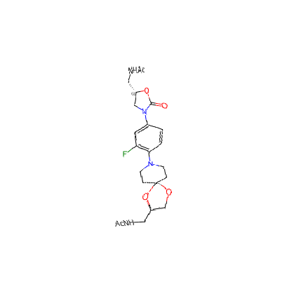 CC(=O)NCC1COC2(CCN(c3ccc(N4C[C@H](CNC(C)=O)OC4=O)cc3F)CC2)O1